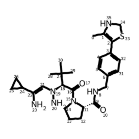 CC1=C(c2ccc(CNC(=O)[C@@H]3CCCN3C(=O)[C@@H](N(N)/C=C(\N)C3CC3)C(C)(C)C)cc2)SCN1